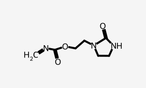 C=NC(=O)OCCN1CCNC1=O